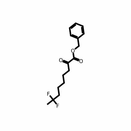 CC(F)(F)CCCCCC(=O)C(=O)OCc1ccccc1